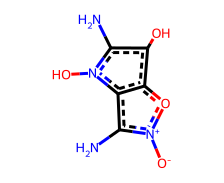 Nc1c(O)c2o[n+]([O-])c(N)c2n1O